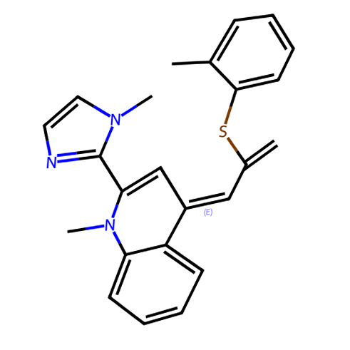 C=C(/C=C1\C=C(c2nccn2C)N(C)c2ccccc21)Sc1ccccc1C